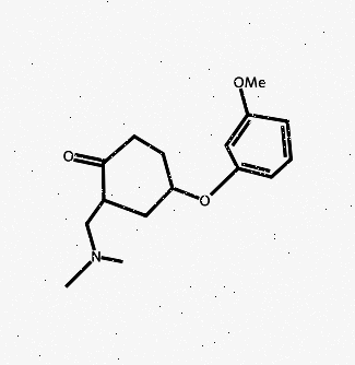 COc1cccc(OC2CCC(=O)C(CN(C)C)C2)c1